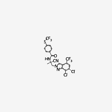 CC(C#N)(Cn1cc2c(C(F)(F)F)cc(Cl)c(Cl)c2n1)NC(=O)c1ccc(SC(F)(F)F)cc1